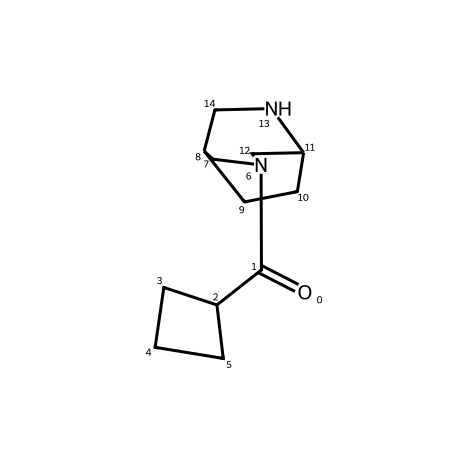 O=C(C1CCC1)N1CC2CCC(C1)NC2